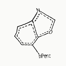 CCCCCc1cccc2ncoc12